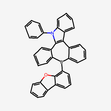 c1ccc(-n2c3c(c4ccccc42)-c2ccccc2B(c2cccc4c2oc2ccccc24)c2ccccc2-3)cc1